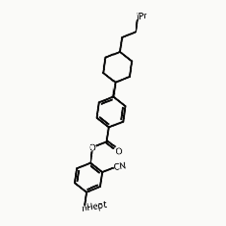 CCCCCCCc1ccc(OC(=O)c2ccc(C3CCC(CCC(C)C)CC3)cc2)c(C#N)c1